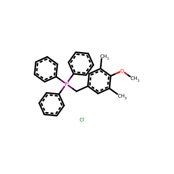 COc1c(C)cc(C[P+](c2ccccc2)(c2ccccc2)c2ccccc2)cc1C.[Cl-]